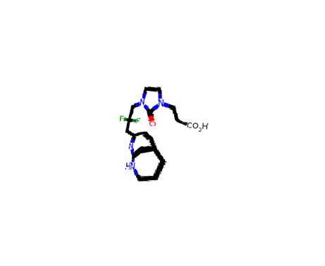 O=C(O)CCN1CCN(CC(F)(F)Cc2ccc3c(n2)NCCC3)C1=O